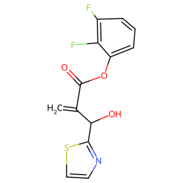 C=C(C(=O)Oc1cccc(F)c1F)C(O)c1nccs1